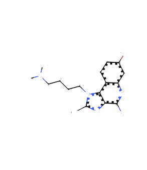 CCCc1nc2c(N)nc3cc(Br)ccc3c2n1CCCCN(C(=O)O)C(C)(C)C